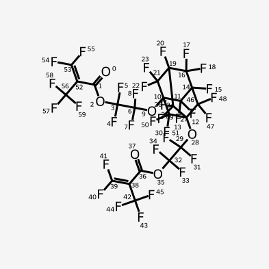 O=C(OC(F)(F)C(F)(F)OC12C(F)(F)C3(F)C(F)(F)C(F)(C1(F)F)C(F)(F)C(OC(F)(F)C(F)(F)OC(=O)C(=C(F)F)C(F)(F)F)(C3(F)F)C2(F)F)C(=C(F)F)C(F)(F)F